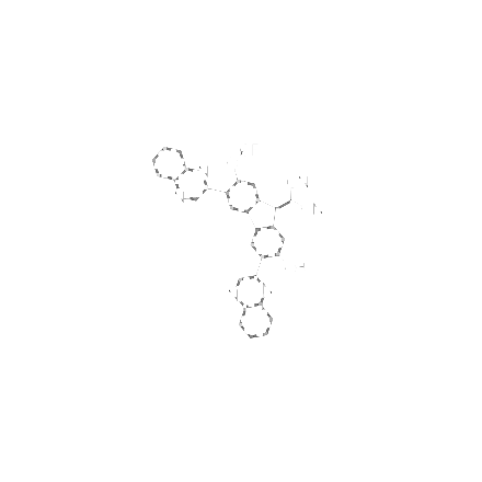 N#CC(C#N)=C1c2cc(OC(F)(F)F)c(-c3cnc4ccccc4n3)cc2-c2cc(-c3cnc4ccccc4n3)c(OC(F)(F)F)cc21